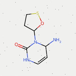 NC1C=CNC(=O)N1C1CCSO1